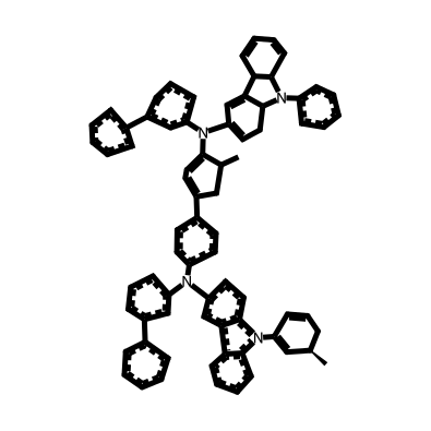 CC1CC(c2ccc(N(c3cccc(-c4ccccc4)c3)c3ccc4c(c3)c3ccccc3n4C3=C[C@H](C)CC=C3)cc2)=CC=C1N(C1=CCC2C(=C1)C1C=CC=CC1N2c1ccccc1)c1cccc(-c2ccccc2)c1